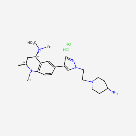 CC(=O)N1c2ccc(-c3cnn(CCN4CCC(N)CC4)c3)cc2[C@H](N(C(=O)O)C(C)C)C[C@@H]1C.Cl.Cl